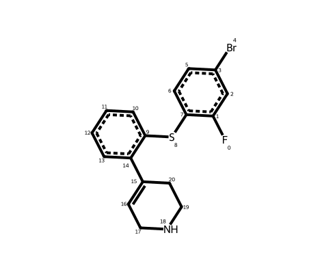 Fc1cc(Br)ccc1Sc1ccccc1C1=CCNCC1